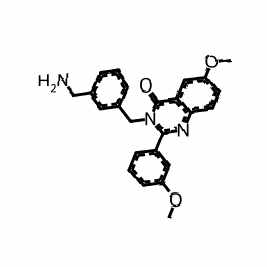 COc1cccc(-c2nc3ccc(OC)cc3c(=O)n2Cc2cccc(CN)c2)c1